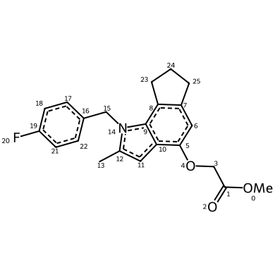 COC(=O)COc1cc2c(c3c1cc(C)n3Cc1ccc(F)cc1)CCC2